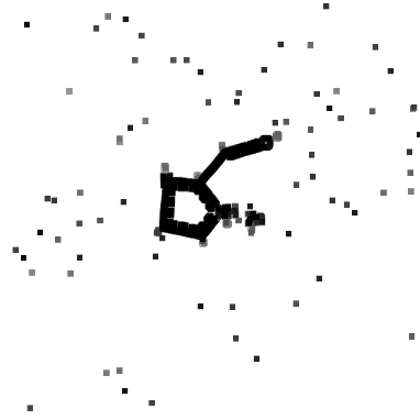 O=Cc1ncc[nH]1.[Zn]